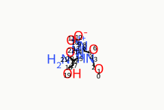 COCCNC(=O)c1nc([N+](=O)[O-])nn1CC(CCO)C(N)=O